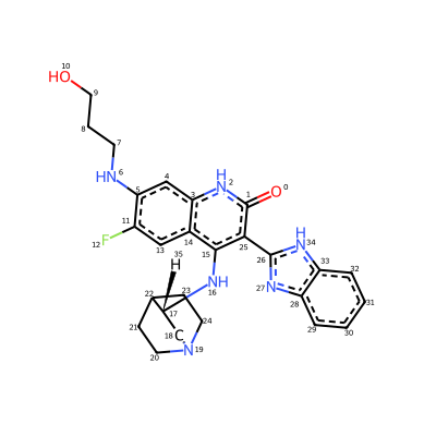 O=c1[nH]c2cc(NCCCO)c(F)cc2c(N[C@@H]2CN3CCC2CC3)c1-c1nc2ccccc2[nH]1